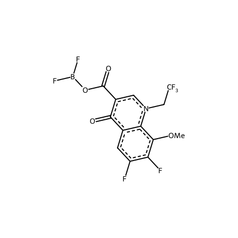 COc1c(F)c(F)cc2c(=O)c(C(=O)OB(F)F)cn(CC(F)(F)F)c12